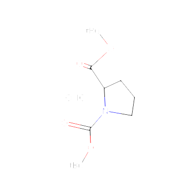 CC(C)(C)OC(=O)N1CCC[C@]1(C=O)C(=O)OC(C)(C)C